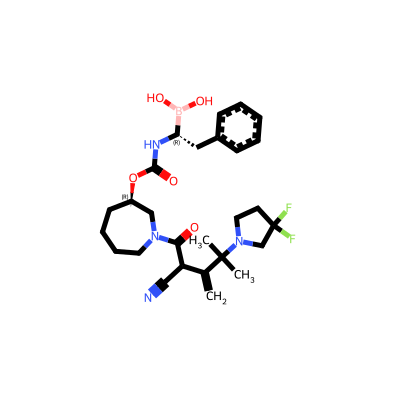 C=C(C(C#N)C(=O)N1CCCC[C@@H](OC(=O)N[C@@H](Cc2ccccc2)B(O)O)C1)C(C)(C)N1CCC(F)(F)C1